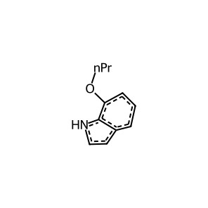 CCCOc1cccc2cc[nH]c12